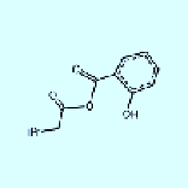 CC(C)CC(=O)OC(=O)c1ccccc1O